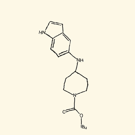 CC(C)(C)OC(=O)N1CCC(Nc2ccc3[nH]ccc3c2)CC1